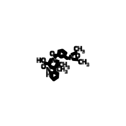 C[C@@H]1CN(Cc2cccc(C(=O)N3C=C(C(=O)O)c4[nH]c5ccccc5c4C(C)(C)C3)c2)C[C@@H](C)O1